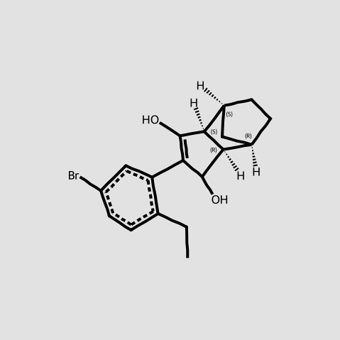 CCc1ccc(Br)cc1C1=C(O)[C@H]2[C@H]3CC[C@H](C3)[C@H]2C1O